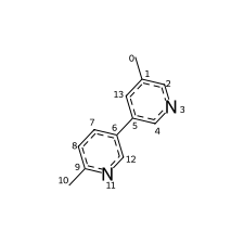 Cc1cncc(-c2ccc(C)nc2)c1